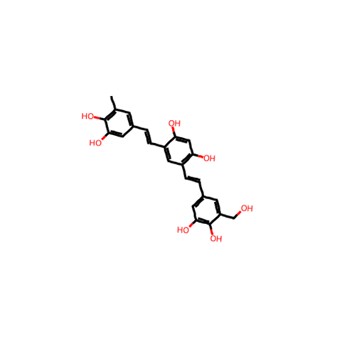 Cc1cc(/C=C/c2cc(/C=C/c3cc(O)c(O)c(CO)c3)c(O)cc2O)cc(O)c1O